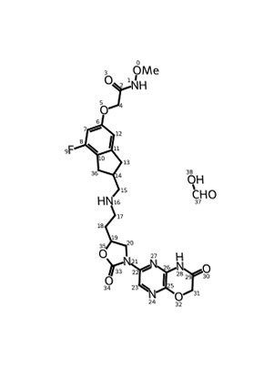 CONC(=O)COc1cc(F)c2c(c1)CC(CNCCC1CN(c3cnc4c(n3)NC(=O)CO4)C(=O)O1)C2.O=CO